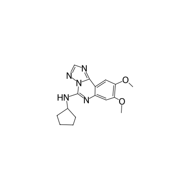 COc1cc2nc(NC3CCCC3)n3ncnc3c2cc1OC